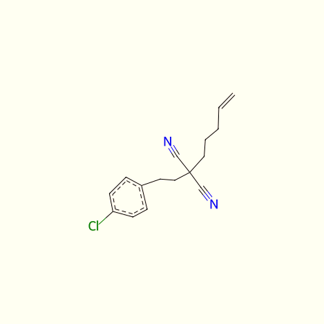 C=CCCCC(C#N)(C#N)CCc1ccc(Cl)cc1